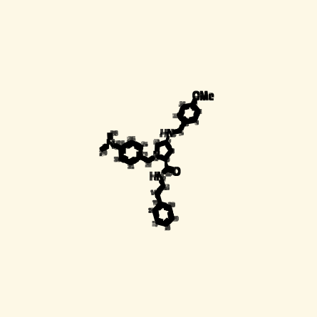 COc1ccc(CN[C@H]2C[C@@H](C(=O)NCCc3ccccc3)N(Cc3ccc(N(C)C)cc3)C2)cc1